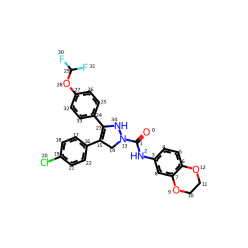 O=C(Nc1ccc2c(c1)OCCO2)N1CC(c2ccc(Cl)cc2)=C(c2ccc(OC(F)F)cc2)N1